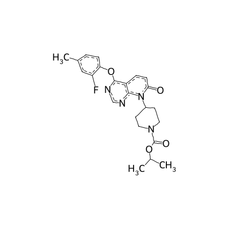 Cc1ccc(Oc2ncnc3c2ccc(=O)n3C2CCN(C(=O)OC(C)C)CC2)c(F)c1